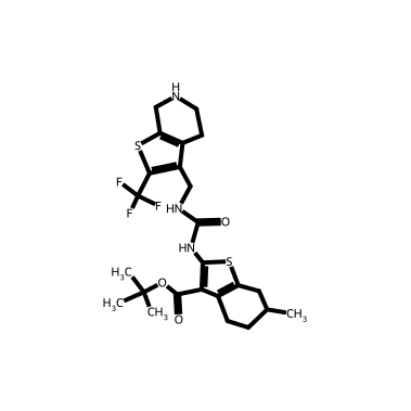 CC1CCc2c(sc(NC(=O)NCc3c(C(F)(F)F)sc4c3CCNC4)c2C(=O)OC(C)(C)C)C1